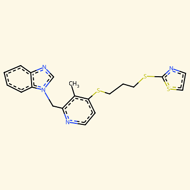 Cc1c(SCCCSc2nccs2)ccnc1Cn1cnc2ccccc21